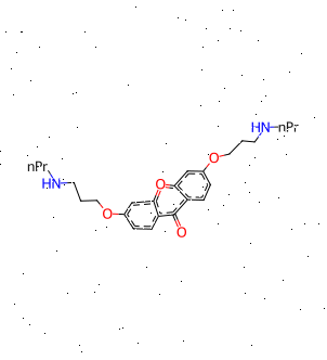 CCCNCCCOc1ccc2c(=O)c3ccc(OCCCNCCC)cc3oc2c1